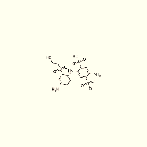 Nc1ccc(Nc2cc(S(=O)(=O)O)c(N)cc2S(=O)(=O)O)c(S(=O)(=O)CCO)c1